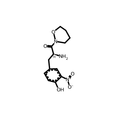 N[C@@H](Cc1ccc(O)c([N+](=O)[O-])c1)C(=O)N1CCCCO1